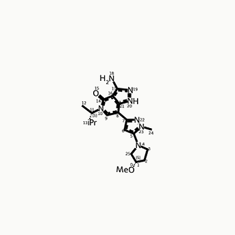 CO[C@H]1CCN(c2cc(-c3cn([C@@H](C)C(C)C)c(=O)c4c(N)n[nH]c34)nn2C)C1